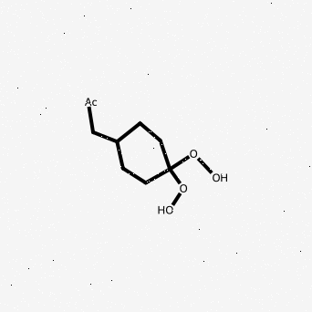 CC(=O)CC1CCC(OO)(OO)CC1